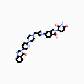 O=C1CCC(N2Cc3cc(N4CC(CN5CCN(c6ccc(-n7cnc8ccccc8c7=O)cn6)CC5)C4)ccc3C2=O)C(=O)N1